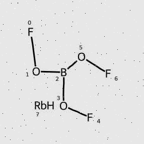 FOB(OF)OF.[RbH]